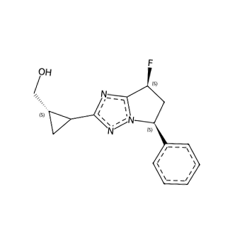 OC[C@H]1CC1c1nc2n(n1)[C@H](c1ccccc1)C[C@@H]2F